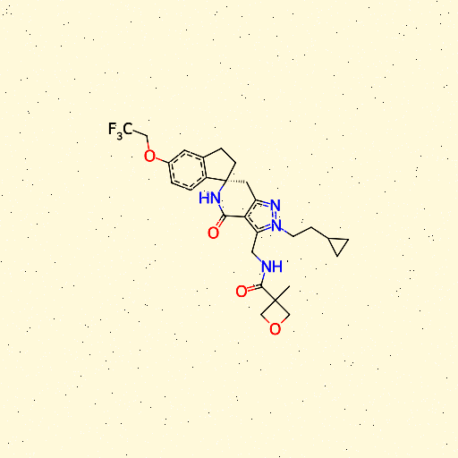 CC1(C(=O)NCc2c3c(nn2CCC2CC2)C[C@]2(CCc4cc(OCC(F)(F)F)ccc42)NC3=O)COC1